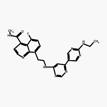 CCNc1ncc(-c2cc(NCCc3ccc(F)c4c(C(=O)NC)ccnc34)ncn2)cn1